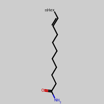 CCCCCCC=CCCCCCCCC(N)=O